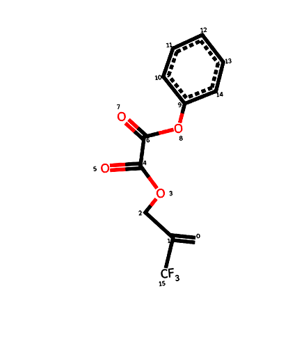 C=C(COC(=O)C(=O)Oc1ccccc1)C(F)(F)F